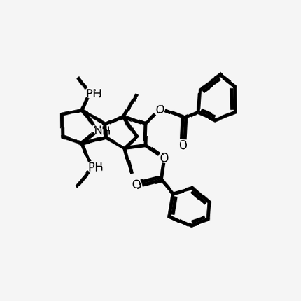 CPC12CCC(PC)(N1)C1C2C2(C)CC1(C)C(OC(=O)c1ccccc1)C2OC(=O)c1ccccc1